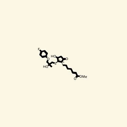 COC(=O)C=CCCCC[C@H]1C(=O)CC(O)[C@@H]1SCC(C)(O)COc1ccc(F)cc1